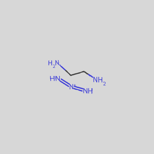 N=[N+]=N.NCCN